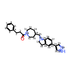 O=C(CCc1ccccc1)N1CCCC(CN2CCc3cc(-c4cn[nH]c4)ccc32)CC1